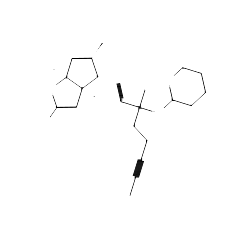 CC#CCCC(C)(C=C[C@@H]1[C@H]2CC(O)O[C@H]2C[C@H]1C)OC1CCCCO1